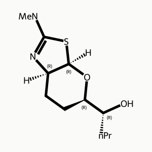 CCC[C@@H](O)[C@H]1CC[C@H]2N=C(NC)S[C@H]2O1